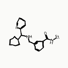 CCNC(=O)c1cccc(CNC(c2ccccn2)C2CCCCC2)c1